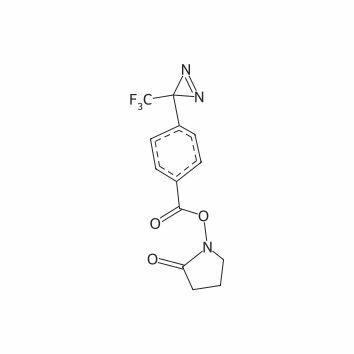 O=C(ON1CCCC1=O)c1ccc(C2(C(F)(F)F)N=N2)cc1